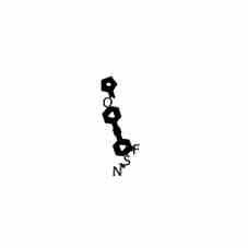 N#CSc1ccc(C#Cc2ccc(OCC3=CCCC3)cc2)cc1F